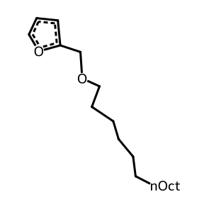 CCCCCCCCCCCCCCOCc1ccco1